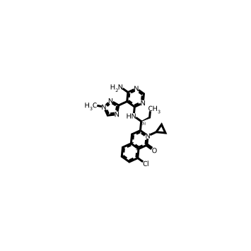 CC[C@H](Nc1ncnc(N)c1-c1ncn(C)n1)c1cc2cccc(Cl)c2c(=O)n1C1CC1